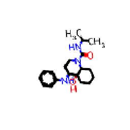 CC(C)NC(=O)N1CCC(Nc2ccccc2)[C@@]2(O)CCCCC12